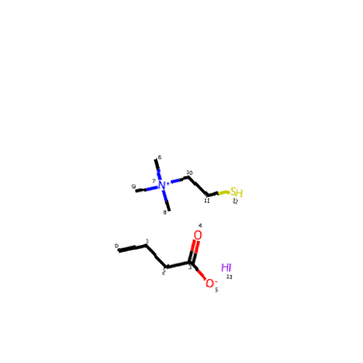 CCCC(=O)[O-].C[N+](C)(C)CCS.I